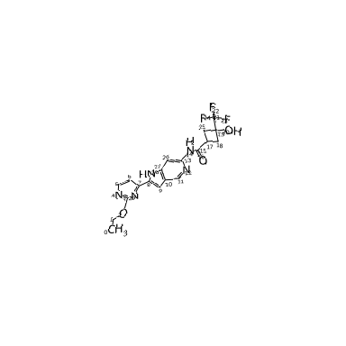 CCOc1nccc(-c2cc3cnc(NC(=O)C4CC(O)(C(F)(F)F)C4)cc3[nH]2)n1